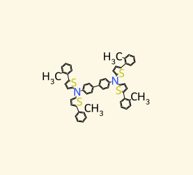 Cc1ccccc1-c1ccc(N(c2ccc(-c3ccc(N(c4ccc(-c5ccccc5C)s4)c4ccc(-c5ccccc5C)s4)cc3)cc2)c2ccc(-c3ccccc3C)s2)s1